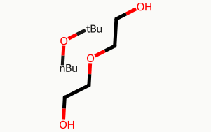 CCCCOC(C)(C)C.OCCOCCO